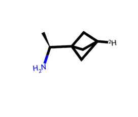 [2H]C12CC([C@H](C)N)(C1)C2